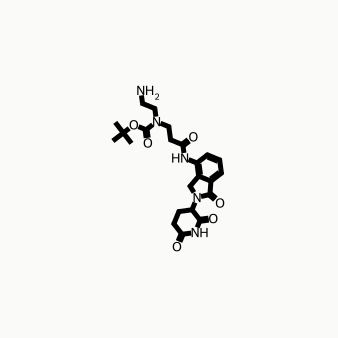 CC(C)(C)OC(=O)N(CCN)CCC(=O)Nc1cccc2c1CN(C1CCC(=O)NC1=O)C2=O